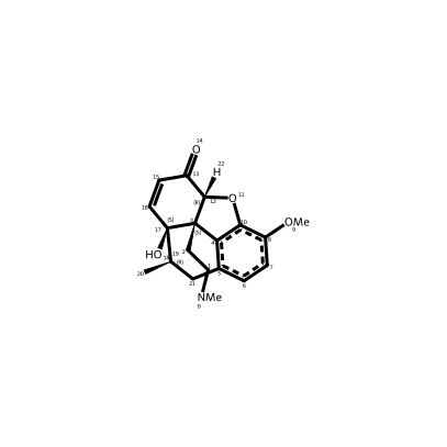 CNCC[C@]12c3c4ccc(OC)c3O[C@H]1C(=O)C=C[C@@]2(O)[C@H](C)C4